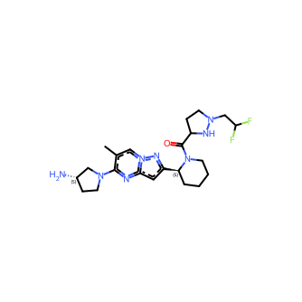 Cc1cn2nc([C@@H]3CCCCN3C(=O)C3CCN(CC(F)F)N3)cc2nc1N1CC[C@H](N)C1